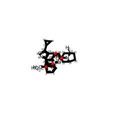 Cc1ccccc1-c1noc(C2CC2)c1COC1CC2CC[C@@H](C1)N2c1ccc2cc(C(=O)O)cn2n1